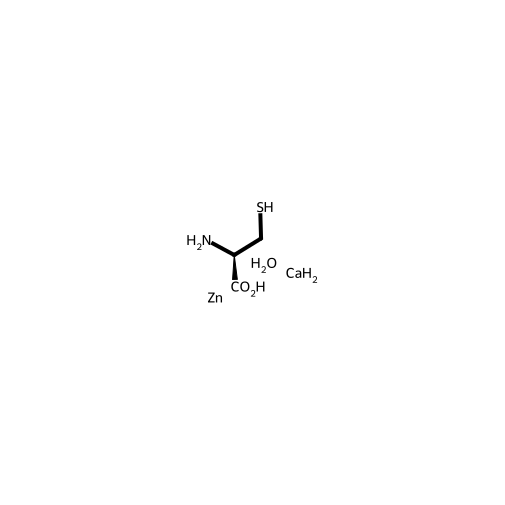 N[C@@H](CS)C(=O)O.O.[CaH2].[Zn]